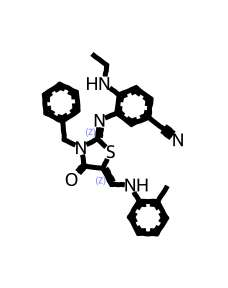 CCNc1ccc(C#N)cc1/N=C1\S/C(=C\Nc2ccccc2C)C(=O)N1Cc1ccccc1